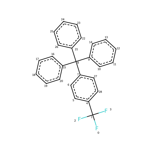 FC(F)(F)c1ccc(C(c2ccccc2)(c2ccccc2)c2ccccc2)cc1